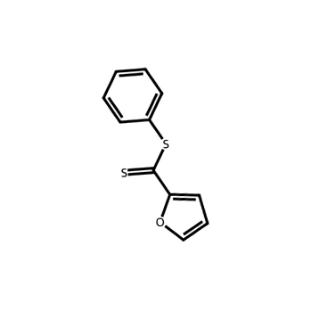 S=C(Sc1ccccc1)c1ccco1